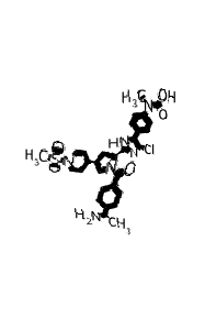 C[C@H](N)C1CCC(C(=O)N2C[C@@H](C3CCN(S(C)(=O)=O)CC3)C[C@H]2c2nc(Cl)c(-c3ccc(N(C)C(=O)O)cc3)[nH]2)CC1